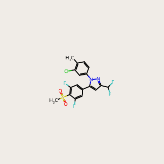 Cc1ccc(-n2nc(C(F)F)cc2-c2cc(F)c(S(C)(=O)=O)c(F)c2)cc1Cl